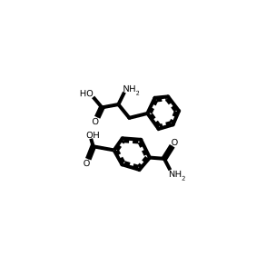 NC(=O)c1ccc(C(=O)O)cc1.NC(Cc1ccccc1)C(=O)O